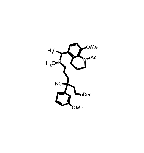 CCCCCCCCCCCCC(C#N)(CCCN(C)C(C)c1ccc(OC)c2c1CCCN2C(C)=O)c1cccc(OC)c1